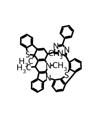 CC1C2=C3N(C)c4c1c1ccccc1n4-c1cccc4c1sc1c(cccc14)-c1nc(-c4ccccc4)nc(n1)C3(C)C=C1c3ccccc3SC12C